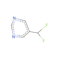 FC(F)c1[c]ncnc1